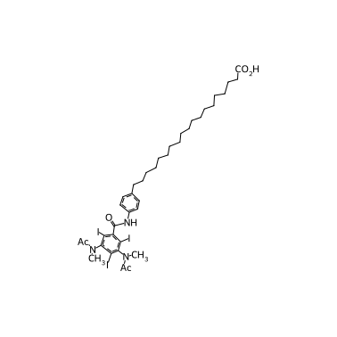 CC(=O)N(C)c1c(I)c(C(=O)Nc2ccc(CCCCCCCCCCCCCCCCCCC(=O)O)cc2)c(I)c(N(C)C(C)=O)c1I